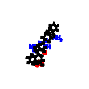 N[C@@H]1c2ccccc2CC12CCN(c1nc3[nH]nc(C4CCS(=O)(=O)c5ccccc54)c3c(=O)[nH]1)CC2